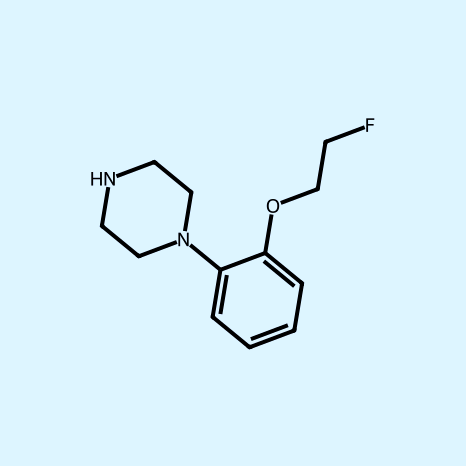 FCCOc1ccccc1N1CCNCC1